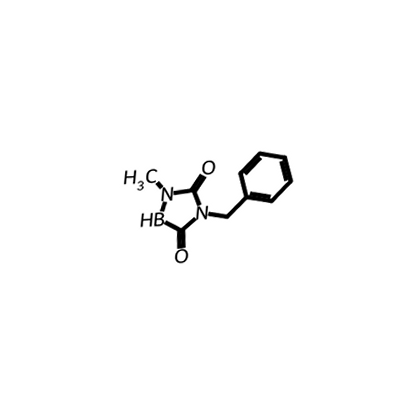 CN1BC(=O)N(Cc2ccccc2)C1=O